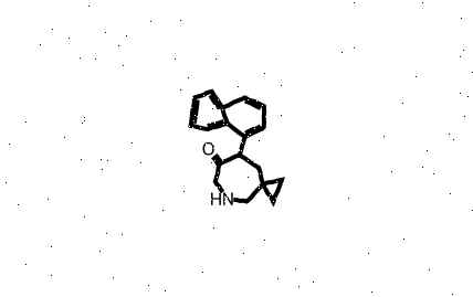 O=C1CNCC2(CC2)CC1c1cccc2ccccc12